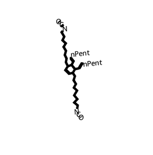 CCCCC/C=C/C1C(CCCCCCCCCN=C=O)C=CC(CCCCCCCCCN=C=O)C1/C=C/CCCCC